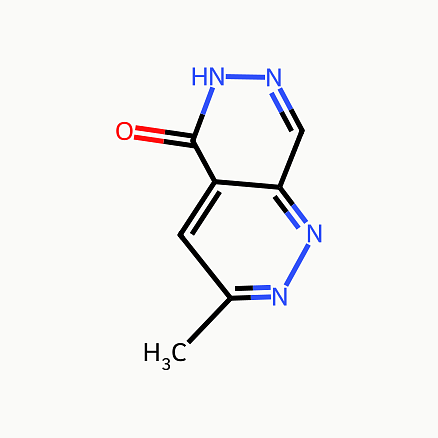 Cc1cc2c(=O)[nH]ncc2nn1